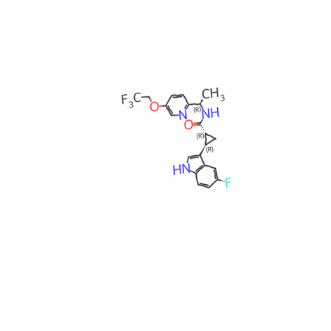 C[C@@H](NC(=O)[C@@H]1C[C@H]1c1c[nH]c2ccc(F)cc12)c1ccc(OCC(F)(F)F)cn1